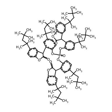 CC(C)(C)CC(C)(C)c1ccc2c(c1)C(c1cc(C(C)(C)CC(C)(C)C)ccc1OP(=O)(Oc1ccc(C(C)(C)CC(C)(C)C)cc1C1C(=O)Oc3ccc(C(C)(C)CC(C)(C)C)cc31)Oc1ccc(C(C)(C)CC(C)(C)C)cc1C1C(=O)Oc3ccc(C(C)(C)CC(C)(C)C)cc31)C(=O)O2